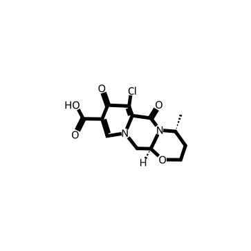 C[C@@H]1CCO[C@H]2Cn3cc(C(=O)O)c(=O)c(Cl)c3C(=O)N12